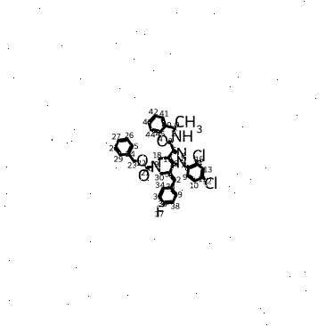 C[C@@H](NC(=O)c1nn(-c2ccc(Cl)cc2Cl)c2c1CN(C(=O)OCc1ccccc1)C/C2=C\c1ccc(F)cc1)c1ccccc1